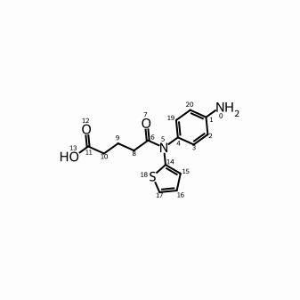 Nc1ccc(N(C(=O)CCCC(=O)O)c2cccs2)cc1